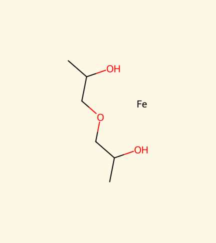 CC(O)COCC(C)O.[Fe]